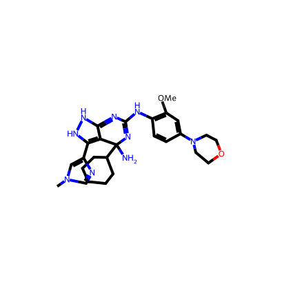 COc1cc(N2CCOCC2)ccc1NC1=NC(N)(C2CCCCC2)C2=C(c3cn(C)cn3)NNC2=N1